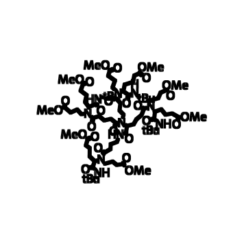 COC(=O)CCCC(C(=O)NC(C)(C)C)N(CCCC(=O)OC)C(=O)CCCNC(=O)C(CCCC(=O)N(CCCC(=O)OC)C(CCCC(=O)OC)C(=O)NC(C)(C)C)N(CCCC(=O)N(CCCC(=O)OC)C(CCCC(=O)OC)C(=O)NC(C)(C)C)C(=O)CCCC(=O)N(CCCC(=O)OC)C(CCCC(=O)OC)C(=O)NC(C)(C)C